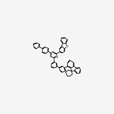 c1ccc(-c2ccc(-c3nc(-c4cccc(-c5cccc(-c6cccc7c6C6(CCCCC6)c6ccccc6-7)c5)c4)nc(-c4ccc5oc6ccccc6c5c4)n3)cc2)cc1